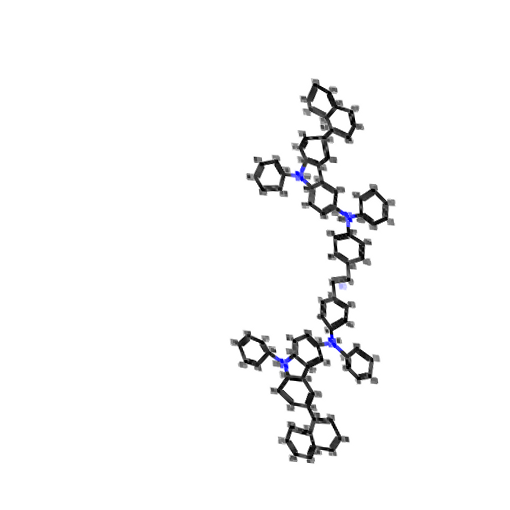 C(=C\c1ccc(N(c2ccccc2)c2ccc3c(c2)c2cc(-c4cccc5ccccc45)ccc2n3-c2ccccc2)cc1)/c1ccc(N(c2ccccc2)c2ccc3c(c2)c2cc(-c4cccc5ccccc45)ccc2n3-c2ccccc2)cc1